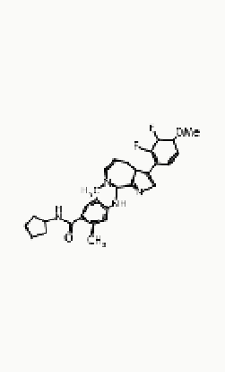 COC1C=CC(C2=CN=C3C2CC=CN(C)C3Nc2ccc(C(=O)NC3CCCC3)c(C)c2)=C(F)C1F